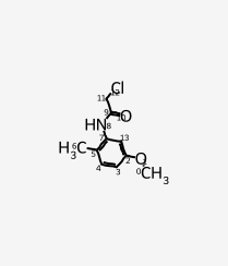 COc1ccc(C)c(NC(=O)CCl)c1